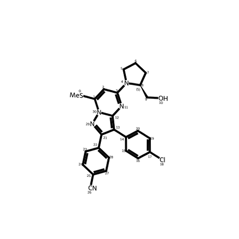 CSc1cc(N2CCC[C@H]2CO)nc2c(-c3ccc(Cl)cc3)c(-c3ccc(C#N)cc3)nn12